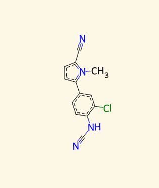 Cn1c(C#N)ccc1-c1ccc(NC#N)c(Cl)c1